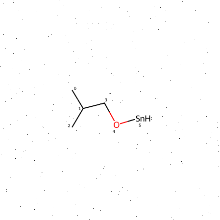 CC(C)C[O][SnH]